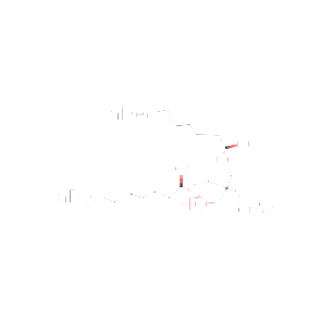 CCCCCCCCCCCCCCCC(=O)OCC(CO)(COC(C)=O)COC(=O)CCCCCCCCCCCCCCC